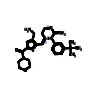 C=C(/N=C\C/C=C\c1sc(C(=O)N2CCOCC2)cc1CN)Nc1cccc(C(C)(C)C)c1